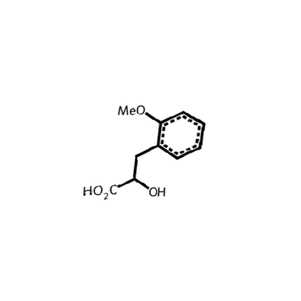 COc1ccccc1CC(O)C(=O)O